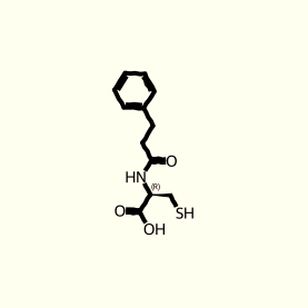 O=C(CCc1ccccc1)N[C@@H](CS)C(=O)O